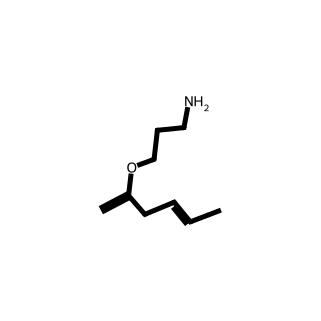 C=C(CC=CC)OCCCN